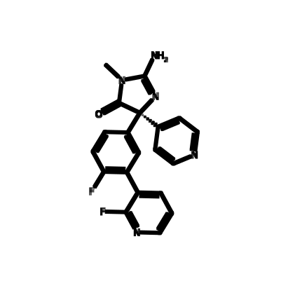 CN1C(=O)[C@](c2ccncc2)(c2ccc(F)c(-c3cccnc3F)c2)N=C1N